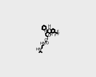 CC(C)NCCCNC(=O)OC[C@H]1CC[C@@H]2[C@H](O1)c1cc(C(F)(F)F)ccc1N[C@H]2C1C=CC=CC1